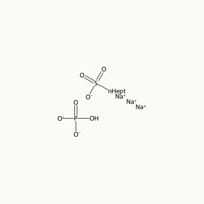 CCCCCCCS(=O)(=O)[O-].O=P([O-])([O-])O.[Na+].[Na+].[Na+]